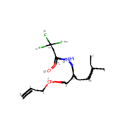 C=CCOCC(CC(C)C)NC(=O)C(F)(F)F